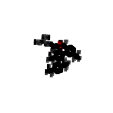 OB(O)O.[Li][c]1c(-c2cc(C(F)(F)F)ccc2C(F)(F)F)c(C(F)(F)F)c(OC(C)C)c(C(F)(F)F)c1-c1cc(C(F)(F)F)ccc1C(F)(F)F